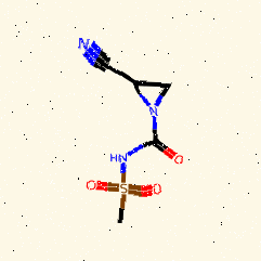 CS(=O)(=O)NC(=O)N1CC1C#N